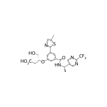 Cc1cnc(-c2cc(O[C@@H](CO)CC(=O)O)cc(C(=O)N[C@H](C)c3cnc(C(F)(F)F)nc3)c2)s1